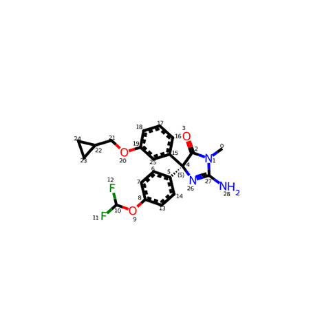 CN1C(=O)[C@](c2ccc(OC(F)F)cc2)(c2cccc(OCC3CC3)c2)N=C1N